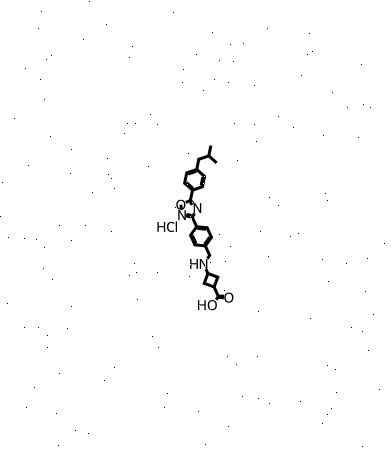 CC(C)Cc1ccc(-c2nc(-c3ccc(CNC4CC(C(=O)O)C4)cc3)no2)cc1.Cl